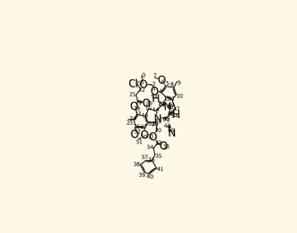 COCOc1c(OC)c(C)cc2c1[C@H]1C3Cc4c(OC(=O)CCCl)c(C)c5c(c4[C@H](COC(=O)CCc4ccccc4)N3[C@@H](C#N)[C@@H](C2)N1C)OCO5